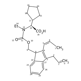 C=CCC1=C(/C=C\C)C(COC(=O)N(CC)[C@H](C(=O)O)C2CCCC2)c2ccccc21